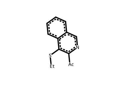 CCSc1c(C(C)=O)ncc2ccccc12